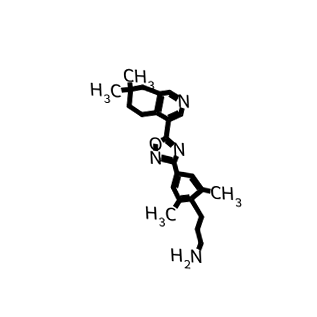 Cc1cc(-c2noc(-c3cncc4c3CCC(C)(C)C4)n2)cc(C)c1CCCN